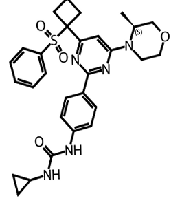 C[C@H]1COCCN1c1cc(C2(S(=O)(=O)c3ccccc3)CCC2)nc(-c2ccc(NC(=O)NC3CC3)cc2)n1